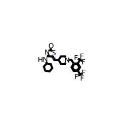 O=C1N=C(NC2CCCCC2)/C(=C/C2CCN(Cc3ccc(C(F)(F)F)cc3C(F)(F)F)CC2)S1